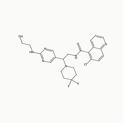 O=C(NCC(c1cnc(NCCO)nc1)N1CCC(F)(F)CC1)c1c(Cl)ccc2ncccc12